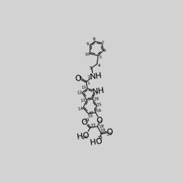 O=C(NCCc1ccccc1)c1cc2ccc(OC(C(=O)O)C(=O)O)cc2[nH]1